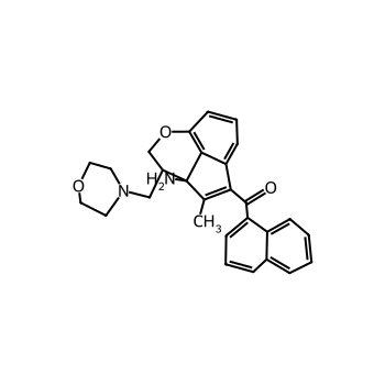 CC1=C(C(=O)c2cccc3ccccc23)c2cccc3c2C1(N)C(CN1CCOCC1)CO3